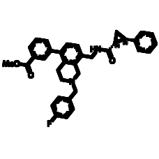 COC(=O)c1cccc(-c2ccc(CNC(=O)[C@@H]3C[C@H]3c3ccccc3)c3c2CCN(Cc2ccc(F)cc2)C3)c1